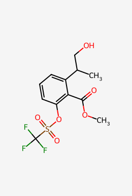 COC(=O)c1c(OS(=O)(=O)C(F)(F)F)cccc1C(C)CO